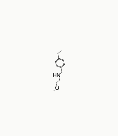 CCc1ccc(CNCCOC)cc1